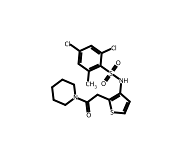 Cc1cc(Cl)cc(Cl)c1S(=O)(=O)Nc1ccsc1CC(=O)N1CCCCC1